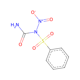 NC(=O)N([N+](=O)[O-])S(=O)(=O)c1ccccc1